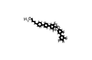 CCCCCC1CCC(c2ccc(-c3cc(F)c(C(F)(F)Oc4ccc(-c5cc(F)c(F)c(F)c5)c(F)c4)c(F)c3)cc2)CC1